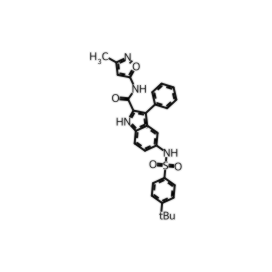 Cc1cc(NC(=O)c2[nH]c3ccc(NS(=O)(=O)c4ccc(C(C)(C)C)cc4)cc3c2-c2ccccc2)on1